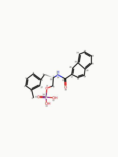 Cc1cccc(C[C@@H](COP(=O)(O)O)NC(=O)c2ccc3ccccc3c2)c1